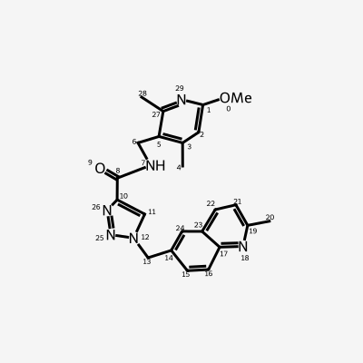 COc1cc(C)c(CNC(=O)c2cn(Cc3ccc4nc(C)ccc4c3)nn2)c(C)n1